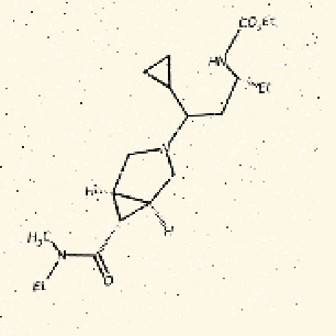 CCOC(=O)N[C@H](CC)CC(C1CC1)N1C[C@@H]2[C@H](C1)[C@H]2C(=O)N(C)CC